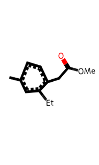 CCc1cc(C)ccc1CC(=O)OC